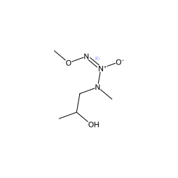 CO/N=[N+](/[O-])N(C)CC(C)O